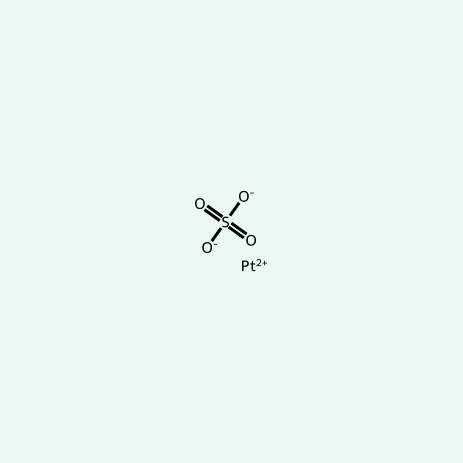 O=S(=O)([O-])[O-].[Pt+2]